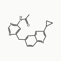 CC(=O)Nc1cc(Cc2ccc3ncc(C4CC4)cc3c2)ncn1